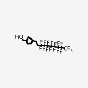 OCc1ccc(CCC(F)(F)C(F)(F)C(F)(F)C(F)(F)C(F)(F)C(F)(F)C(F)(F)C(F)(F)F)cc1